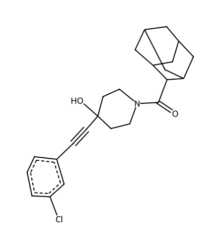 O=C(C1C2CC3CC(C2)CC1C3)N1CCC(O)(C#Cc2cccc(Cl)c2)CC1